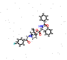 O=C(C[N+]12CCC(CC1)[C@@H](OC(=O)C(NC(=O)c1ccccc1)c1ccccc1)C2)c1ccc(F)cc1